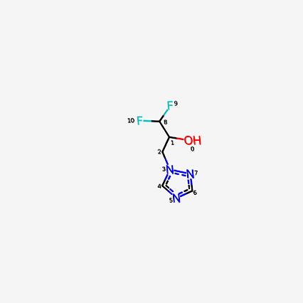 OC(Cn1cncn1)C(F)F